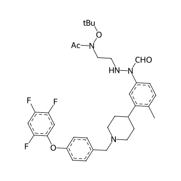 CC(=O)N(CCNN(C=O)c1ccc(C)c(C2CCN(Cc3ccc(Oc4cc(F)c(F)cc4F)cc3)CC2)c1)OC(C)(C)C